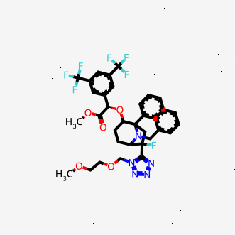 COCCOCn1nnnc1C1(F)CC2(c3ccccc3)C(O[C@@H](C(=O)OC)c3cc(C(F)(F)F)cc(C(F)(F)F)c3)CCC1N2Cc1ccccc1